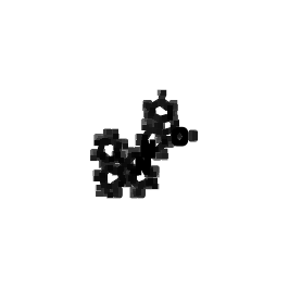 COCC1(c2ccccc2)CCN(CCC(c2ccccc2)(c2ccccc2)c2ccccn2)CC1